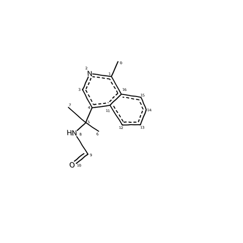 Cc1ncc(C(C)(C)NC=O)c2ccccc12